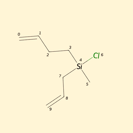 C=CCC[Si](C)(Cl)CC=C